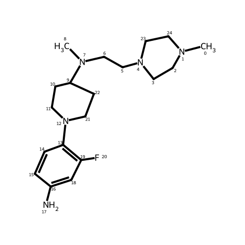 CN1CCN(CCN(C)C2CCN(c3ccc(N)cc3F)CC2)CC1